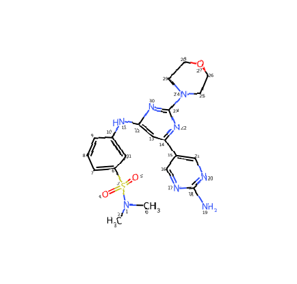 CN(C)S(=O)(=O)c1cccc(Nc2cc(-c3cnc(N)nc3)nc(N3CCOCC3)n2)c1